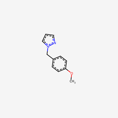 COc1ccc(Cn2cc[c]n2)cc1